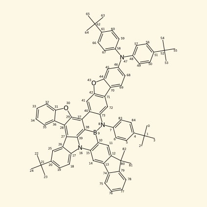 CC(C)(C)c1ccc(N2B3c4cc5c(cc4-n4c6ccc(C(C)(C)C)cc6c6c7c(oc8ccccc87)c(c3c64)-c3cc4oc6cc(N(c7ccc(C(C)(C)C)cc7)c7ccc(C(C)(C)C)cc7)ccc6c4cc32)-c2ccccc2C5(C)C)cc1